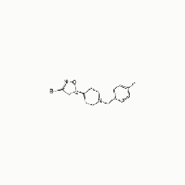 Cc1ccc(CN2CCC([C@H]3CC(Br)=NO3)CC2)cc1